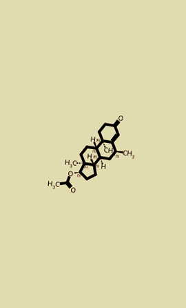 CC(=O)O[C@H]1CC[C@H]2[C@@H]3C[C@H](C)C4=CC(=O)CC[C@]4(C)[C@H]3CC[C@]12C